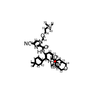 CC1(C)CC=C(c2nc(C3CC4COCC(C3)N4C(=O)OC(C)(C)C)ccc2NC(=O)c2nc(C#N)cn2COCC[Si](C)(C)C)CC1